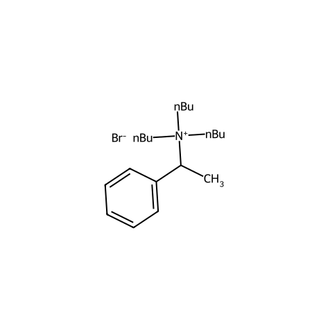 CCCC[N+](CCCC)(CCCC)C(C)c1ccccc1.[Br-]